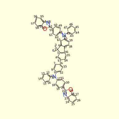 CC1(C)c2cc(-c3ccc(N(c4ccccc4)c4ccc(-c5nc6ccccc6o5)cc4)cc3)ccc2-c2ccc(N(c3ccccc3)c3ccc(-c4nc5ccccc5o4)cc3)cc21